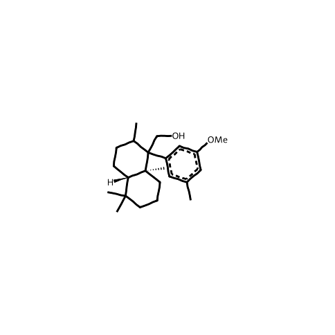 COc1cc(C)cc(C2(CO)C(C)CC[C@H]3C(C)(C)CCC[C@@]32C)c1